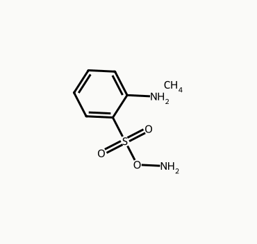 C.NOS(=O)(=O)c1ccccc1N